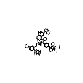 CN(C(=O)O)c1ccc(NC(=O)C2c3cc([N+](=O)[O-])cnc3CCN2C(=O)C=Cc2cc(Cl)ccc2-n2cnnn2)cc1